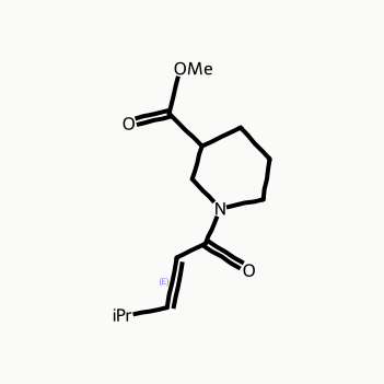 COC(=O)C1CCCN(C(=O)/C=C/C(C)C)C1